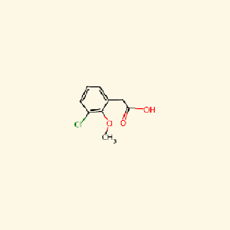 COc1c(Cl)cccc1CC(=O)O